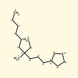 CCCCCCC(C)(CC)CCCN1CCSC1